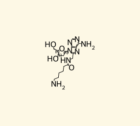 NCCCCCC(=O)NCc1nc2c(N)ncnc2n1[C@H]1C[C@H](O)[C@@H](CO)O1